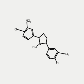 O=[N+]([O-])c1cc(C2CCC(c3ccc(Cl)c([N+](=O)[O-])c3)N2O)ccc1Cl